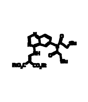 CCOC(=O)C(=CNc1ncnc2ccc(N(C(=O)CC(C)(C)C)C(=O)CC(C)(C)C)cc12)C(=O)OCC